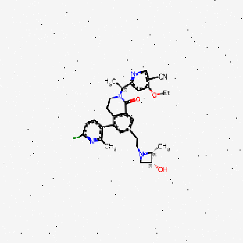 CCOc1cc([C@H](C)N2CCc3c(cc(CCN4C[C@@H](O)[C@H]4C)cc3-c3ccc(F)nc3C)C2=O)ncc1C#N